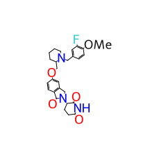 COc1ccc(CN2CCCCC2COc2ccc3c(c2)CN(C2CCC(=O)NC2=O)C3=O)cc1F